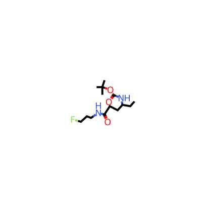 CCC(CCC(=O)NCCCF)NC(=O)OC(C)(C)C